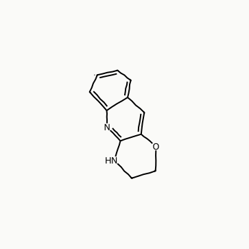 [c]1ccc2cc3c(nc2c1)NCCO3